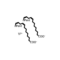 CCCCC/C=C\C/C=C\CCCCCCCC(=O)[O-].CCCCC/C=C\C/C=C\CCCCCCCC(=O)[O-].[Ti+2]